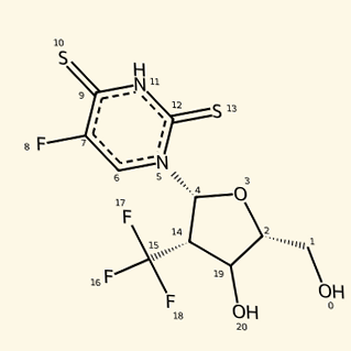 OC[C@H]1O[C@@H](n2cc(F)c(=S)[nH]c2=S)[C@@H](C(F)(F)F)C1O